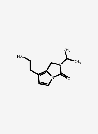 CCCc1ccn2c1CN(C(C)C)C2=O